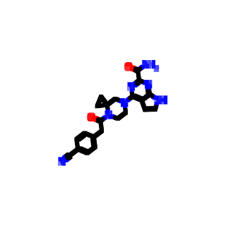 N#Cc1ccc(CC(=O)N2CCN(c3nc(C(N)=O)nc4[nH]ccc34)CC23CC3)cc1